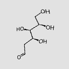 O=CC[C@H](O)[C@@H](O)[C@H](O)CO